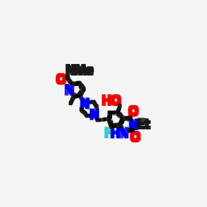 CCn1c(=O)[nH]c2c(F)c(CN3CCN(c4ccc(C(=O)NC)nc4C)CC3)cc(CO)c2c1=O